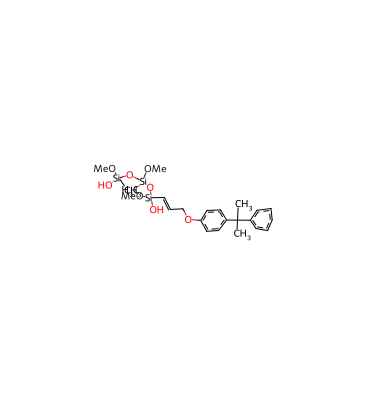 CO[Si](C)(O)O[Si](C)(OC)O[Si](O)(/C=C/COc1ccc(C(C)(C)c2ccccc2)cc1)OC